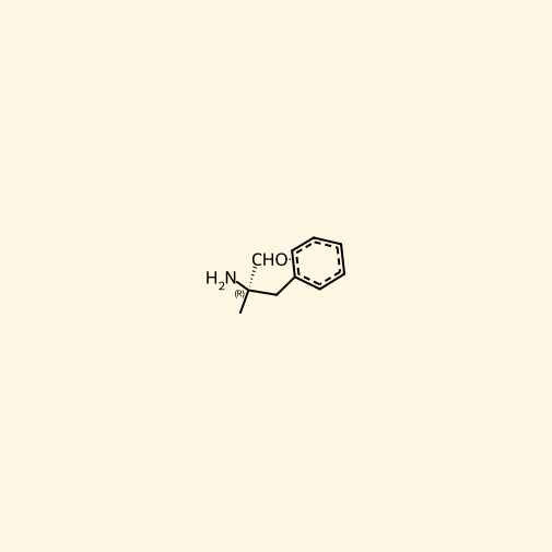 C[C@](N)([C]=O)Cc1ccccc1